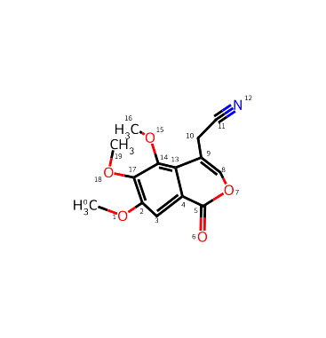 COc1cc2c(=O)occ(CC#N)c2c(OC)c1OC